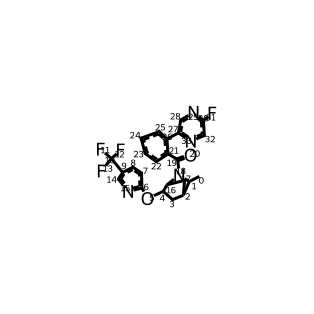 CC1C2CC(Oc3ccc(C(F)(F)F)cn3)C(C2)N1C(=O)c1ccccc1-c1cnc(F)cn1